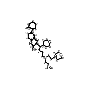 CC(C)(C)CCN(CCCC(c1cc2cc(-c3ccccc3F)ccc2nc1N)C1CCOCC1)CCN1CCOCC1